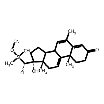 CC1=CC2C(=CC[C@@]3(C)C2CC[C@]3(O)[C@H](Cl)[Si](C)(C)OC#N)[C@@]2(C)CCC(=O)C=C12